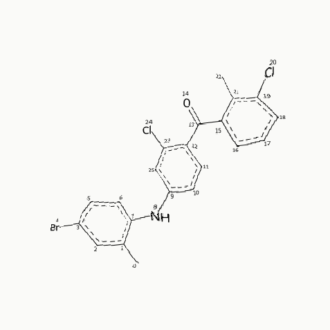 Cc1cc(Br)ccc1Nc1ccc(C(=O)c2cccc(Cl)c2C)c(Cl)c1